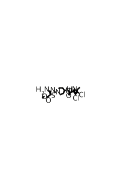 COC(=O)c1sc(N2CCC(NC(=O)c3[nH]c(C)c(Cl)c3Cl)CC2)nc1N